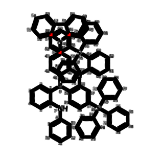 B(c1ccccc1Nc1ccccc1)c1ccc([Si](c2ccccc2)(c2ccccc2)c2ccccc2)cc1N(c1cccc(-n2c3ccccc3c3ccccc32)c1)c1ccccc1[Si](c1ccccc1)(c1ccccc1)c1ccccc1